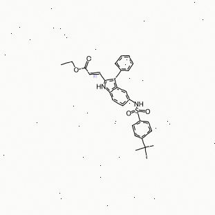 CCOC(=O)/C=C/c1[nH]c2ccc(NS(=O)(=O)c3ccc(C(C)(C)C)cc3)cc2c1-c1ccccc1